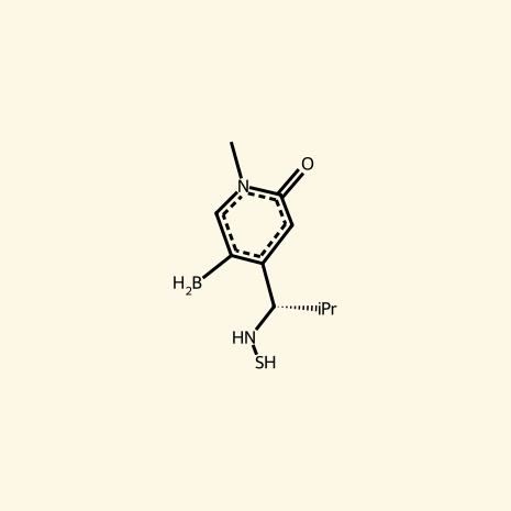 Bc1cn(C)c(=O)cc1[C@@H](NS)C(C)C